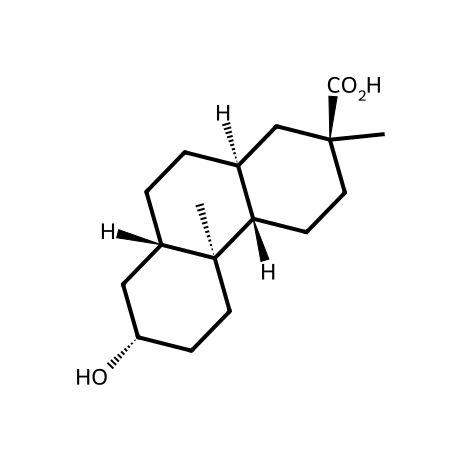 C[C@]1(C(=O)O)CC[C@H]2[C@@H](CC[C@H]3C[C@@H](O)CC[C@@]32C)C1